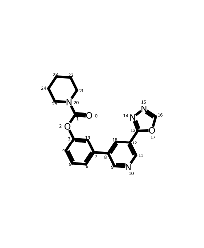 O=C(Oc1cccc(-c2cncc(-c3nnco3)c2)c1)N1CCCCC1